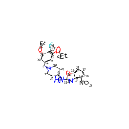 CCOc1cc(CN2CCC(Nc3nc4c([N+](=O)[O-])cccc4o3)CC2)cc(OCC)c1F